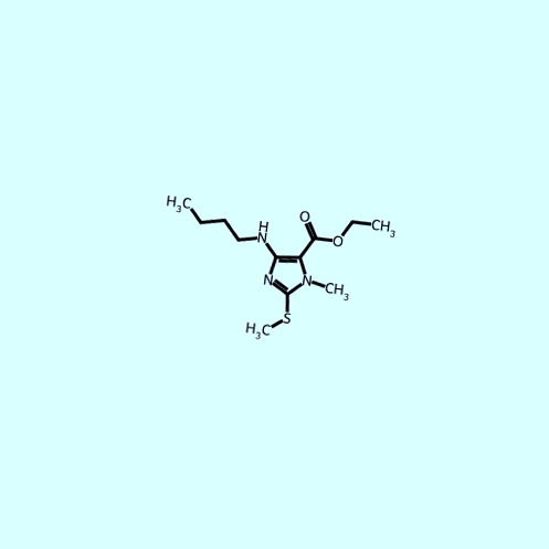 CCCCNc1nc(SC)n(C)c1C(=O)OCC